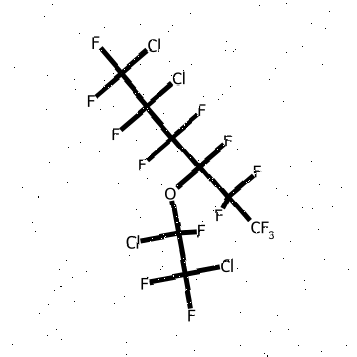 FC(F)(F)C(F)(F)C(F)(OC(F)(Cl)C(F)(F)Cl)C(F)(F)C(F)(Cl)C(F)(F)Cl